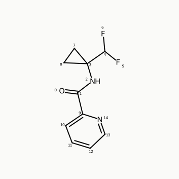 O=C(NC1(C(F)F)CC1)c1ccccn1